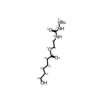 CCCCNC(=O)NCCOC(=O)CCCCCO